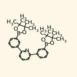 CC1(C)OB(c2cccc(-c3cccc(-c4cccc(B5OC(C)(C)C(C)(C)O5)c4)n3)c2)OC1(C)C